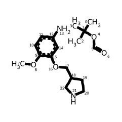 CC(C)(C)OC=O.COc1ccc(N)cc1OCC1CCNC1